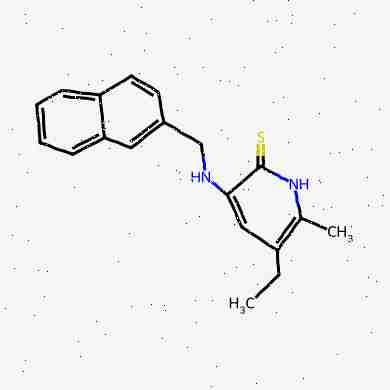 CCc1cc(NCc2ccc3ccccc3c2)c(=S)[nH]c1C